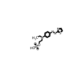 CCN(CCOS(=O)(=O)O)c1ccc(N=Nc2nccs2)cc1